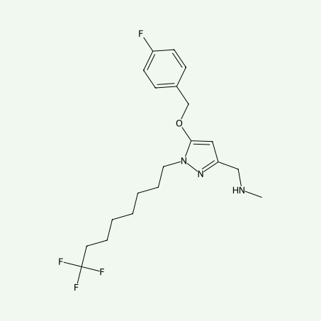 CNCc1cc(OCc2ccc(F)cc2)n(CCCCCCCC(F)(F)F)n1